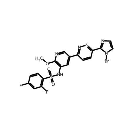 COc1ncc(-c2ccc(-c3nccn3Br)nn2)cc1NS(=O)(=O)c1ccc(F)cc1F